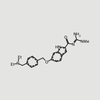 CCN(CC)Cc1ccc(COc2ccc3cc(C(=O)N=C(N)NC)[nH]c3c2)cc1